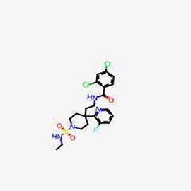 CCNS(=O)(=O)N1CCC(CCNC(=O)c2ccc(Cl)cc2Cl)(c2ncccc2F)CC1